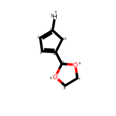 [3H]C1=CC=C(C2OCCO2)C1